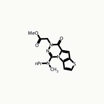 CCCN(C)c1nn(CC(=O)OC)c(=O)c2cc3sccc3n12